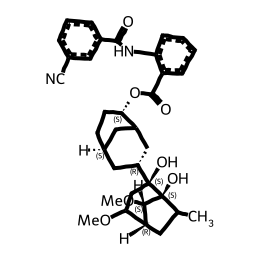 COC1C[C@](O)([C@H]2CC3C[C@H](CC[C@@H]3OC(=O)c3ccccc3NC(=O)c3cccc(C#N)c3)C2)[C@]2(O)C(C)C[C@H]1[C@@H]2OC